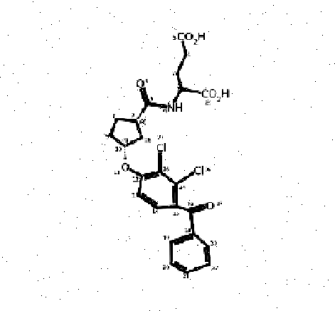 O=C(O)CCC(NC(=O)[C@@H]1CC[C@@H](Oc2ccc(C(=O)c3ccccc3)c(Cl)c2Cl)C1)C(=O)O